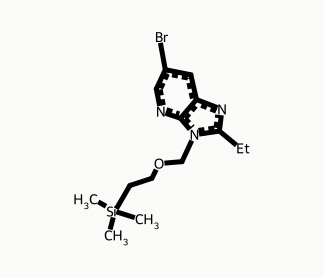 CCc1nc2cc(Br)cnc2n1COCC[Si](C)(C)C